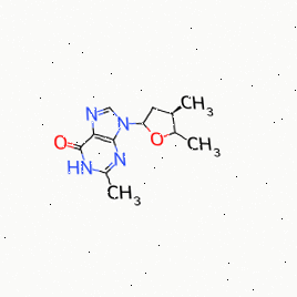 Cc1nc2c(ncn2C2C[C@@H](C)C(C)O2)c(=O)[nH]1